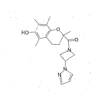 Cc1c(C)c2c(c(C)c1O)CCC(C)(C(=O)N1CC(n3cccn3)C1)O2